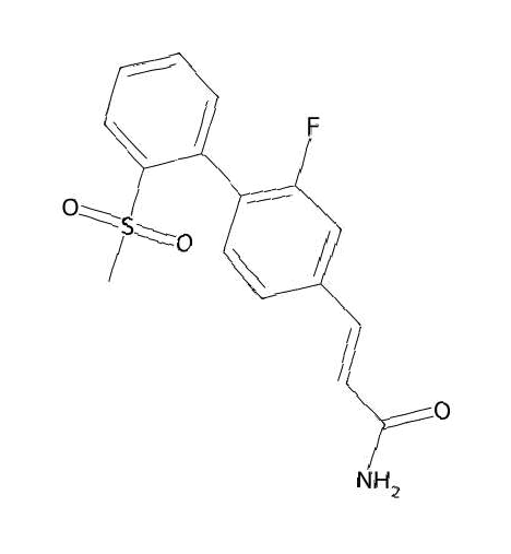 CS(=O)(=O)c1ccccc1-c1ccc(C=CC(N)=O)cc1F